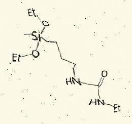 CCNC(=O)NCCC[Si](C)(OCC)OCC